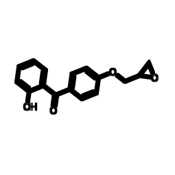 O=C(c1ccc(OCC2CO2)cc1)c1ccccc1O